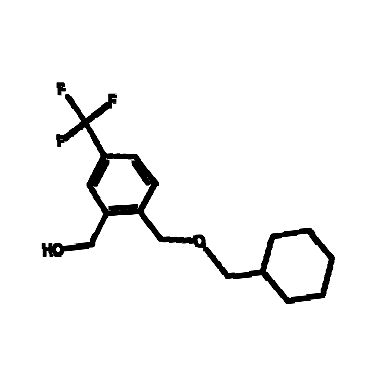 OCc1cc(C(F)(F)F)ccc1COCC1CCCCC1